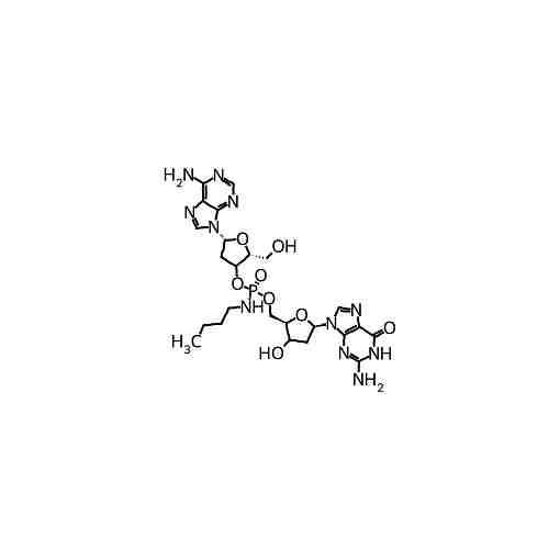 CCCCNP(=O)(OC[C@H]1O[C@@H](n2cnc3c(=O)[nH]c(N)nc32)CC1O)OC1C[C@H](n2cnc3c(N)ncnc32)O[C@@H]1CO